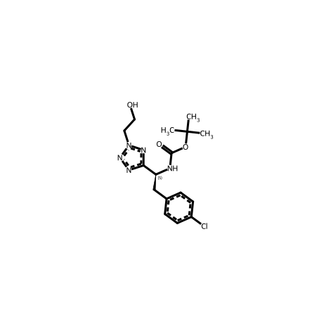 CC(C)(C)OC(=O)N[C@@H](Cc1ccc(Cl)cc1)c1nnn(CCO)n1